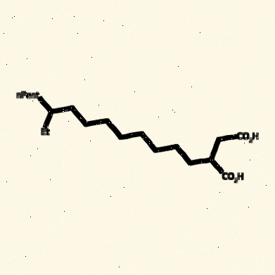 CCCCCC(CC)CCCCCCCCC(CC(=O)O)C(=O)O